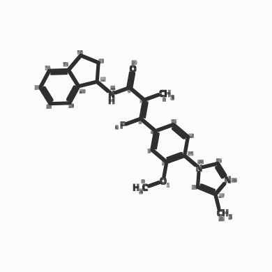 COc1cc(C(F)=C(C)C(=O)NC2CCc3ccccc32)ccc1-n1cnc(C)c1